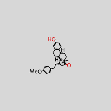 COc1ccc(CC[C@@H]2CC(=O)[C@@]3(C)CC[C@@H]4c5ccc(O)cc5CC[C@H]4[C@H]23)cc1